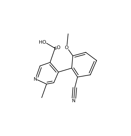 COc1cccc(C#N)c1-c1cc(C)ncc1C(=O)O